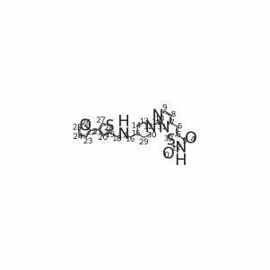 O=C1NC(=O)C(=Cc2ccnc(N3CCC(CNCc4cc(-c5ccco5)cs4)CC3)n2)S1